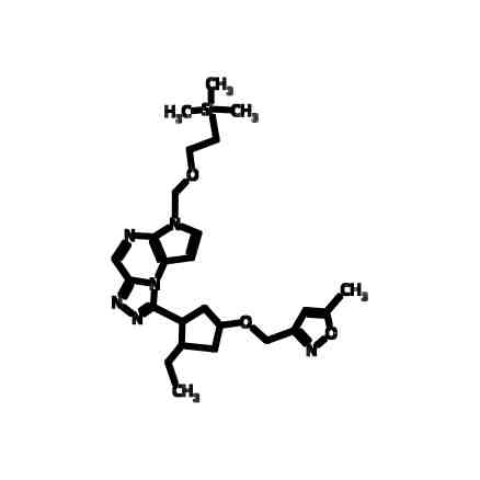 CCC1CC(OCc2cc(C)on2)CC1c1nnc2cnc3c(ccn3COCC[Si](C)(C)C)n12